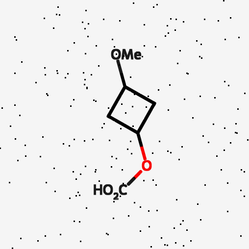 COC1CC(OC(=O)O)C1